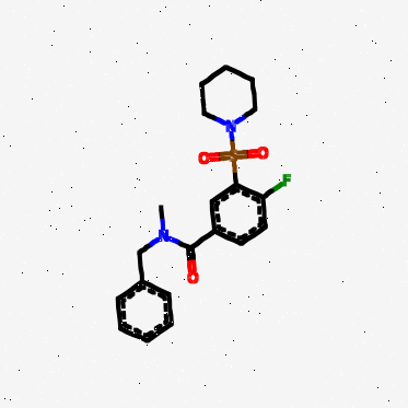 CN(Cc1ccccc1)C(=O)c1ccc(F)c(S(=O)(=O)N2CCCCC2)c1